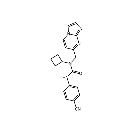 N#Cc1ccc(NC(=O)N(Cc2ccn3ccnc3n2)C2CCC2)cc1